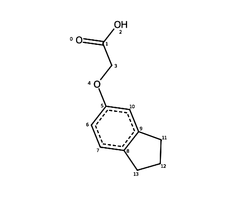 O=C(O)COc1ccc2c(c1)CCC2